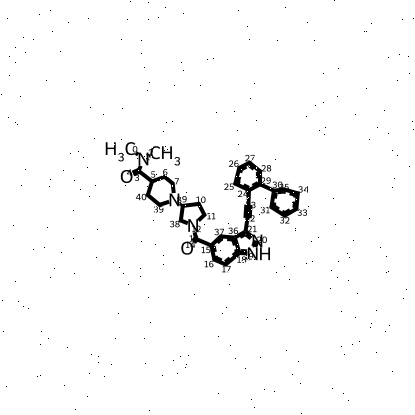 CN(C)C(=O)C1CCN([C@H]2CCN(C(=O)c3ccc4[nH]nc(C#Cc5ccccc5-c5ccccc5)c4c3)C2)CC1